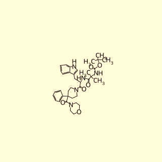 CC(C)(C)OC(=O)NC(C)(C)C(=O)NC(Cc1c[nH]c2ccccc12)C(=O)N1CCC(C(=O)N2CCOCC2)(c2ccccc2)CC1